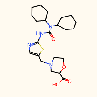 O=C(O)C1CN(Cc2cnc(NC(=O)N(C3CCCCC3)C3CCCCC3)s2)CCO1